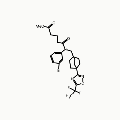 COC(=O)CCCC(=O)N(CC12CCC(c3noc(C(C)(F)F)n3)(CC1)CC2)c1cccc(Br)c1